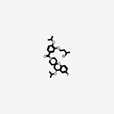 CC(Br)CCOc1cc(C(=O)N2CCC3(CC2)C[C@@H](OC(C)C)c2cc(F)ccc2O3)ccc1OC(C)C